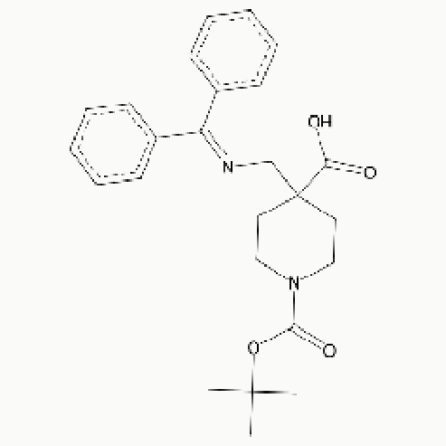 CC(C)(C)OC(=O)N1CCC(CN=C(c2ccccc2)c2ccccc2)(C(=O)O)CC1